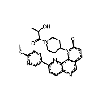 CSc1ccc(-c2ccc3ncc4ccc(=O)n(C5CCN(C(=O)C(C)O)CC5)c4c3n2)cn1